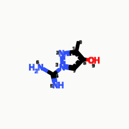 Cc1nn(C(=N)N)cc1O